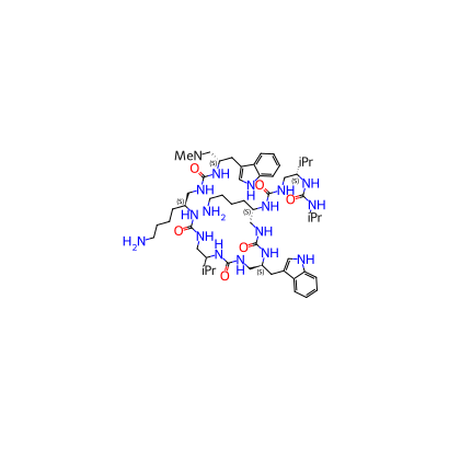 CNC[C@H](Cc1c[nH]c2ccccc12)NC(=O)NC[C@H](CCCCN)NC(=O)NCC(NC(=O)NC[C@H](Cc1c[nH]c2ccccc12)NC(=O)NC[C@H](CCCCN)NC(=O)NC[C@@H](NC(=O)NC(C)C)C(C)C)C(C)C